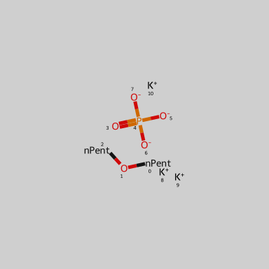 CCCCCOCCCCC.O=P([O-])([O-])[O-].[K+].[K+].[K+]